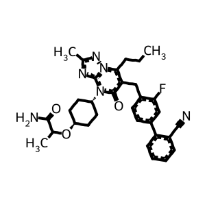 CCCc1c(Cc2ccc(-c3ccccc3C#N)cc2F)c(=O)n([C@H]2CC[C@H](OC(C)C(N)=O)CC2)c2nc(C)nn12